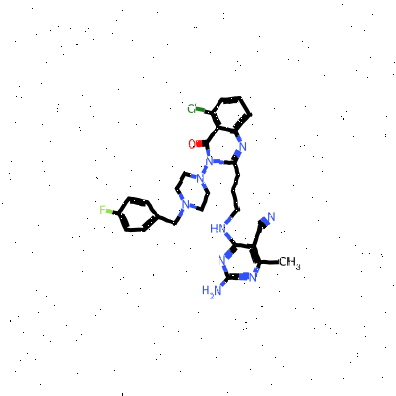 Cc1nc(N)nc(NCCCc2nc3cccc(Cl)c3c(=O)n2N2CCN(Cc3ccc(F)cc3)CC2)c1C#N